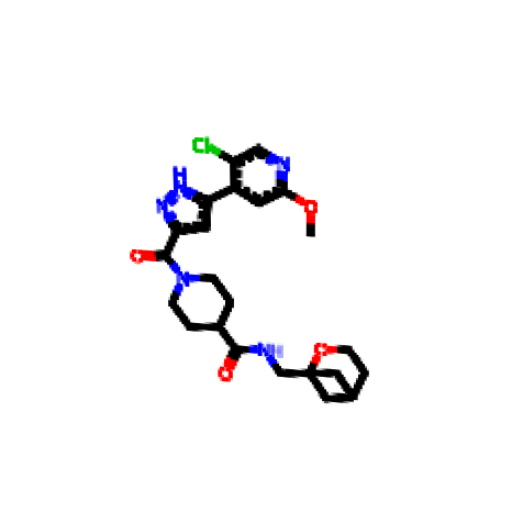 COc1cc(-c2cc(C(=O)N3CCC(C(=O)NCC45CC(CCO4)C5)CC3)n[nH]2)c(Cl)cn1